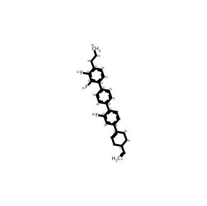 C=CC1CC=C(c2ccc(-c3ccc(-c4ccc(CCC)c(F)c4F)cc3)c(F)c2)CC1